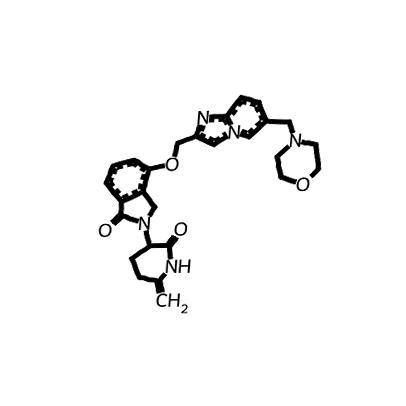 C=C1CCC(N2Cc3c(OCc4cn5cc(CN6CCOCC6)ccc5n4)cccc3C2=O)C(=O)N1